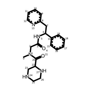 CN(CC(=O)NC(Cc1ccccn1)c1ccccc1)C(=O)C1CNCCN1